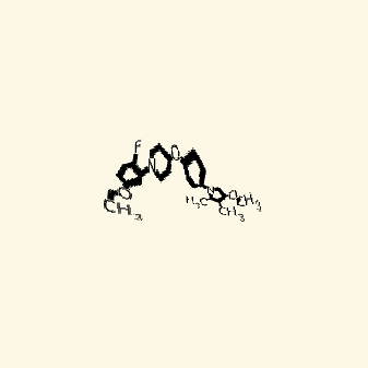 CCOc1ccc(F)c(N2CCC(Oc3ccc(N4C[C@H](OC)[C@@H](C)[C@@H]4C)cc3)CC2)c1